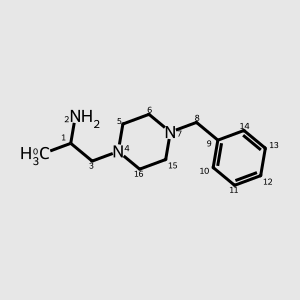 CC(N)CN1CCN(Cc2ccccc2)CC1